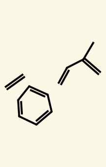 C=C.C=CC(=C)C.c1ccccc1